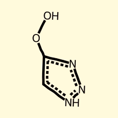 OOc1c[nH]nn1